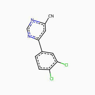 N#Cc1cc(-c2ccc(Cl)c(Cl)c2)ncn1